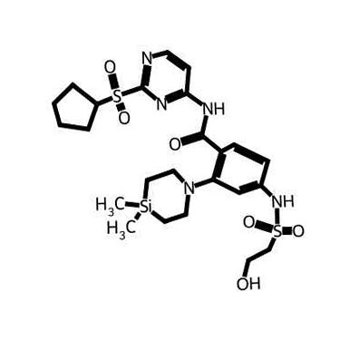 C[Si]1(C)CCN(c2cc(NS(=O)(=O)CCO)ccc2C(=O)Nc2ccnc(S(=O)(=O)C3CCCC3)n2)CC1